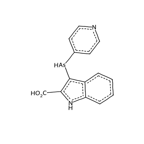 O=C(O)c1[nH]c2ccccc2c1[AsH]c1ccncc1